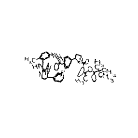 Cc1ccc(NC(=O)c2ccc(C3CCN(C(=O)OC(C)OC(=O)C(C)(C)C)C3)cc2)cc1Nc1nccc(-c2cccnc2)n1